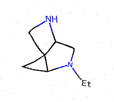 CCN1CC2NCC23CC13